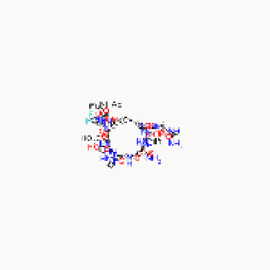 CC(=O)N[C@@H](CC(C)C)C(=O)C(=O)[C@@H](NN[C@@H](Cc1ccc(F)c(F)c1)C(=O)N[C@]1(C)CCCCCC/C=C/CCC[C@@](C)(C(=O)N[C@@H](CO)C(=O)CN[C@@H](C)C(=O)CCN[C@@H](C)C(=O)CN)NC(=O)[C@H](CCC(C)C)NN[C@@H](CCC(N)=O)C(=O)CC(=O)[C@H](C)NCC(=O)[C@H](Cc2c[nH]c3ccccc23)NN[C@@H](Cc2ccc(O)cc2)C(=O)N[C@@H](CCC(=O)O)C(=O)C1=O)[C@@H](C)O